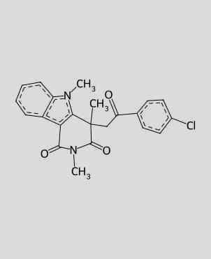 CN1C(=O)c2c(n(C)c3ccccc23)C(C)(CC(=O)c2ccc(Cl)cc2)C1=O